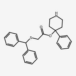 O=C(CSC(c1ccccc1)c1ccccc1)OC1(c2ccccc2)CCNCC1